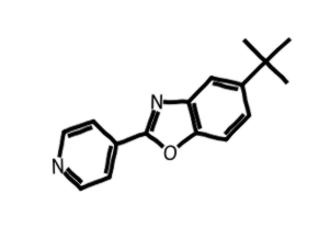 CC(C)(C)c1ccc2oc(-c3ccncc3)nc2c1